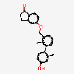 Cc1cc(O)ccc1-c1cccc(COc2ccc3c(c2)CCC3=O)c1C